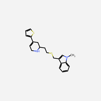 Cn1cc(CSCCC2CC(c3cccs3)=CCN2)c2ccccc21